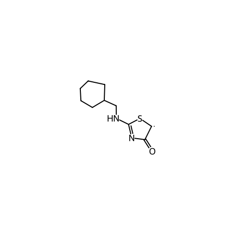 O=C1[CH]SC(NCC2CCCCC2)=N1